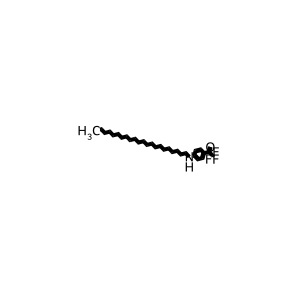 CCCCCCCCCCCCCCCCCCCCCCNc1ccc(C(=O)C(F)(F)F)cc1